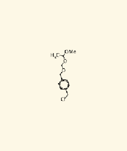 COC(C)OCOCc1ccc(CCl)cc1